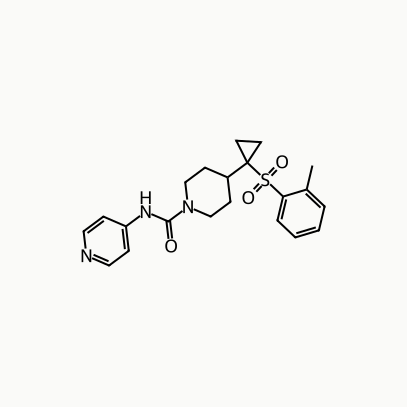 Cc1ccccc1S(=O)(=O)C1(C2CCN(C(=O)Nc3ccncc3)CC2)CC1